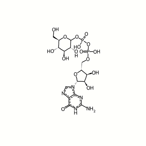 Nc1nc2c(ncn2[C@@H]2O[C@H](COP(=O)(O)OP(=O)(O)OC3O[C@H](CO)[C@@H](O)[C@H](O)[C@H]3O)[C@@H](O)[C@H]2O)c(=O)[nH]1